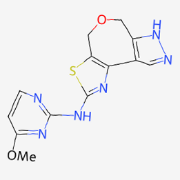 COc1ccnc(Nc2nc3c(s2)COCc2[nH]ncc2-3)n1